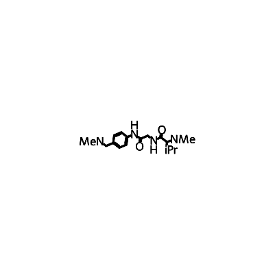 CNCc1ccc(NC(=O)CNC(=O)C(NC)C(C)C)cc1